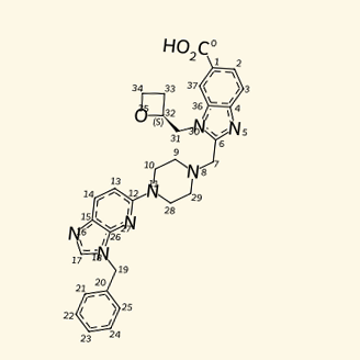 O=C(O)c1ccc2nc(CN3CCN(c4ccc5ncn(Cc6ccccc6)c5n4)CC3)n(C[C@@H]3CCO3)c2c1